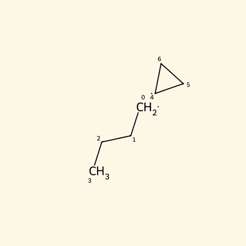 [CH2]CCC.[CH]1CC1